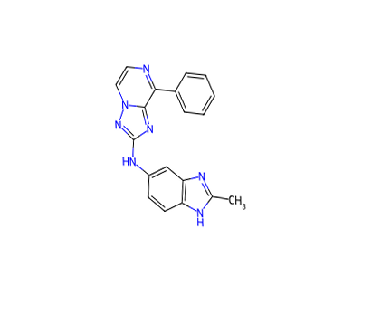 Cc1nc2cc(Nc3nc4c(-c5ccccc5)nccn4n3)ccc2[nH]1